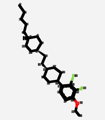 CCCCC[Si@H]1CC[C@H](CC[C@H]2CC[C@H](c3ccc(OCC)c(F)c3F)CC2)CC1